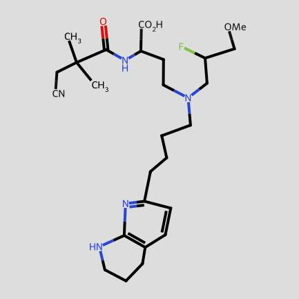 COCC(F)CN(CCCCc1ccc2c(n1)NCCC2)CCC(NC(=O)C(C)(C)CC#N)C(=O)O